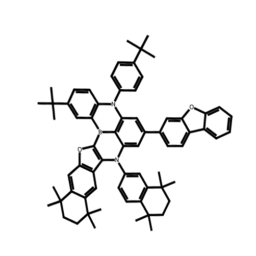 CC(C)(C)c1ccc(N2c3ccc(C(C)(C)C)cc3B3c4oc5cc6c(cc5c4N(c4ccc5c(c4)C(C)(C)CCC5(C)C)c4cc(-c5ccc7c(c5)oc5ccccc57)cc2c43)C(C)(C)CCC6(C)C)cc1